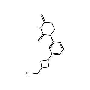 CCC1CN(c2cccc(C3CCC(=O)NC3=O)c2)C1